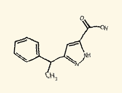 CC(c1ccccc1)c1cc(C(=O)O)[nH]n1